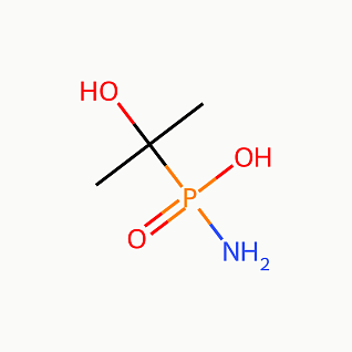 CC(C)(O)P(N)(=O)O